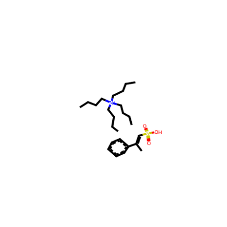 CC(=CS(=O)(=O)O)c1ccccc1.CCCC[N+](CCCC)(CCCC)CCCC